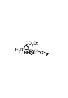 CCOC(=O)C1=C[C@@H](N2CCC[C@H](OCCOCC3CC3)C2)[C@H](NC(C)=O)[C@@H](N)C1